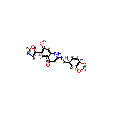 COc1cc2[nH]c(NCc3ccc4c(c3)OCO4)cc(=O)c2cc1-c1cnco1